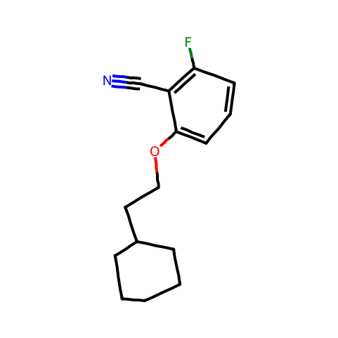 N#Cc1c(F)cccc1OCCC1CCCCC1